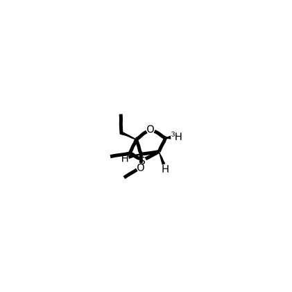 [3H][C@@H]1O[C@@]2(CC)C(C)S[C@@H]1[C@@H]2OC